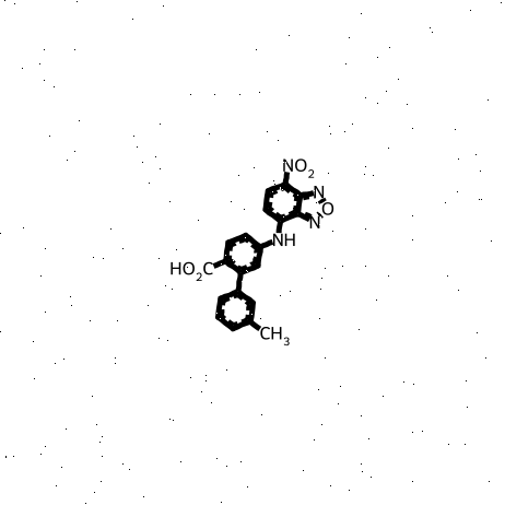 Cc1cccc(-c2cc(Nc3ccc([N+](=O)[O-])c4nonc34)ccc2C(=O)O)c1